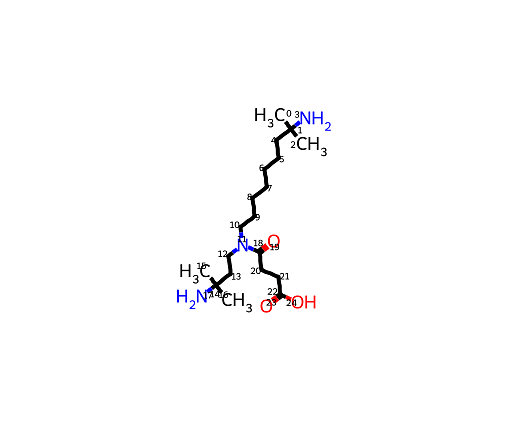 CC(C)(N)CCCCCCCN(CCC(C)(C)N)C(=O)CCC(=O)O